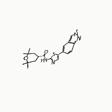 Cn1cc2cc(-c3cnc(NC(=O)C4CC(C)(C)OC(C)(C)C4)s3)ccc2n1